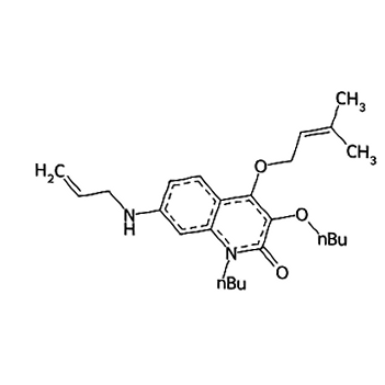 C=CCNc1ccc2c(OCC=C(C)C)c(OCCCC)c(=O)n(CCCC)c2c1